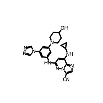 N#Cc1cnc2c(NC3CC3)cc(Nc3cc(N4CCC(O)CC4)cc(-n4cnnc4)c3)nn12